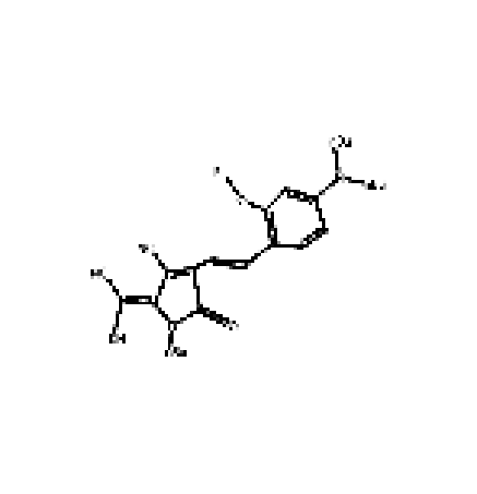 CCCCN1C(=O)C(/C=C/c2ccc(N(CCCC)CCCC)cc2OC(C)C)=C(C#N)C1=C(C#N)C#N